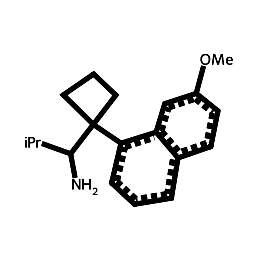 COc1ccc2cccc(C3(C(N)C(C)C)CCC3)c2c1